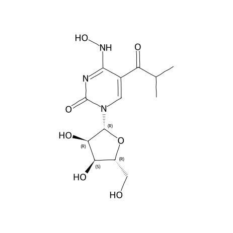 CC(C)C(=O)c1cn([C@@H]2O[C@H](CO)[C@@H](O)[C@H]2O)c(=O)nc1NO